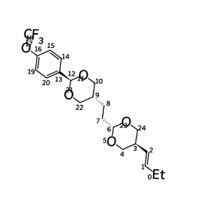 CCC=C[C@H]1CO[C@H](CC[C@H]2CO[C@H](c3ccc(OC(F)(F)F)cc3)OC2)OC1